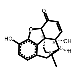 CN1CC[C@]23c4c5ccc(O)c4OC2C(=O)C=C[C@@]3(O)[C@H]1C5